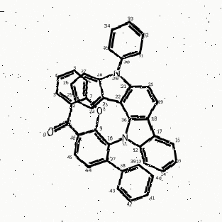 O=c1c2ccccc2oc2c(-n3c4ccccc4c4ccc5c(c6ccccc6n5-c5ccccc5)c43)c(-c3ccccc3)ccc12